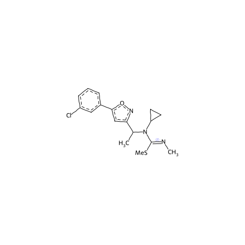 C/N=C(\SC)N(C1CC1)C(C)c1cc(-c2cccc(Cl)c2)on1